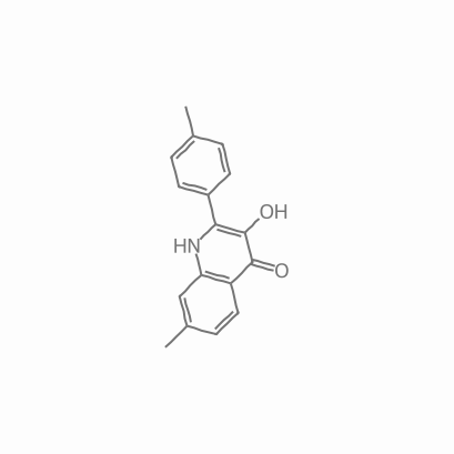 Cc1ccc(-c2[nH]c3cc(C)ccc3c(=O)c2O)cc1